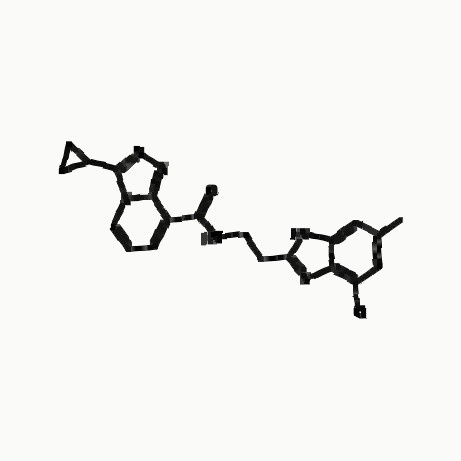 Cc1cc(Cl)c2nc(CCNC(=O)c3cccn4c(C5CC5)nnc34)[nH]c2c1